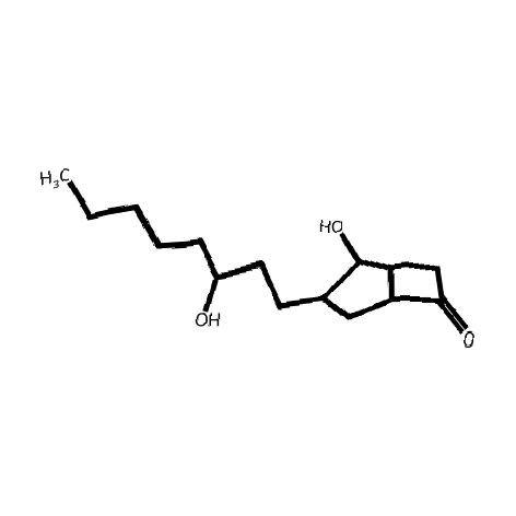 CCCCCC(O)CCC1CC2C(=O)CC2C1O